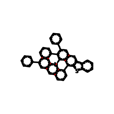 c1ccc(-c2ccc(N(c3ccccc3-c3cccc4c3sc3ccccc34)c3cccc(-c4ccccc4)c3-c3ccccc3-c3ccccc3)cc2)cc1